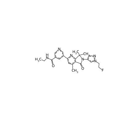 CCNC(=O)c1cncc(-c2cc(C)c3c(n2)C(C)(C)N(c2cnn(CCF)c2)C3=O)c1